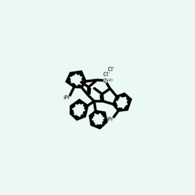 CC1=C2c3c(C(C)C)cccc3[CH]1[Zr+2][CH]1C(C)=C(c3c(C(C)C)cccc31)C2(c1ccccc1)c1ccccc1.[Cl-].[Cl-]